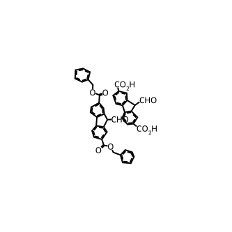 O=CC1c2cc(C(=O)O)ccc2-c2ccc(C(=O)O)cc21.O=CC1c2cc(C(=O)OCc3ccccc3)ccc2-c2ccc(C(=O)OCc3ccccc3)cc21